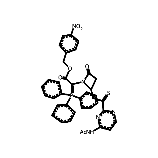 CC(=O)Nc1ccnc(C(=S)CC2CC(=O)N2C(C(=O)OCc2ccc([N+](=O)[O-])cc2)=P(c2ccccc2)(c2ccccc2)c2ccccc2)n1